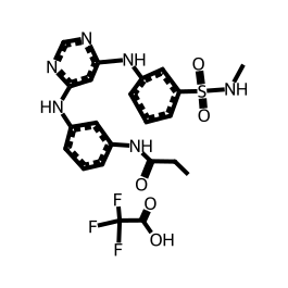 CCC(=O)Nc1cccc(Nc2cc(Nc3cccc(S(=O)(=O)NC)c3)ncn2)c1.O=C(O)C(F)(F)F